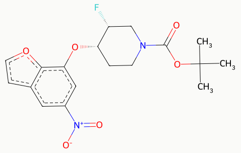 CC(C)(C)OC(=O)N1CC[C@H](Oc2cc([N+](=O)[O-])cc3ccoc23)[C@H](F)C1